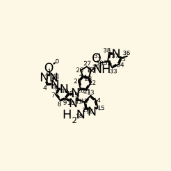 COc1ncn(-c2ccc3nc(-c4cccnc4N)n(-c4ccc5c(c4)CC[C@@H]5NC(=O)c4ccc(C)nc4)c3n2)n1